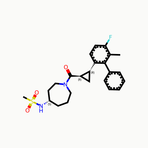 Cc1c(F)ccc([C@@H]2C[C@H]2C(=O)N2CCC[C@H](NS(C)(=O)=O)CC2)c1-c1ccccc1